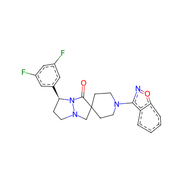 O=C1N2[C@H](c3cc(F)cc(F)c3)CCN2CC12CCN(c1noc3ccccc13)CC2